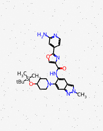 Cn1cc2cc(NC(=O)c3coc(-c4ccnc(N)c4)n3)c(N3CCC(O[Si](C)(C)C(C)(C)C)CC3)cc2n1